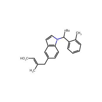 CCCCC(c1ccccc1C)n1ccc2cc(CC(C)=CC(=O)O)ccc21